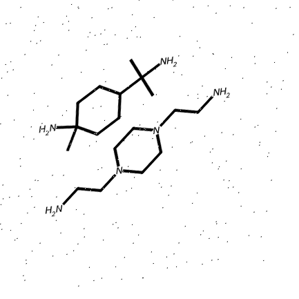 CC1(N)CCC(C(C)(C)N)CC1.NCCN1CCN(CCN)CC1